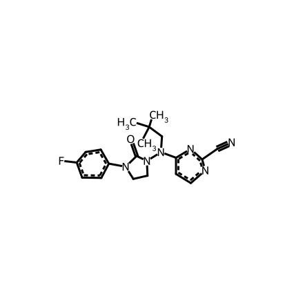 CC(C)(C)CN(c1ccnc(C#N)n1)N1CCN(c2ccc(F)cc2)C1=O